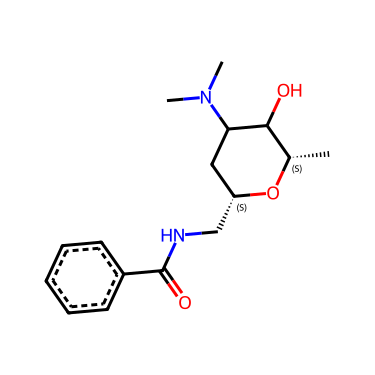 C[C@@H]1O[C@H](CNC(=O)c2ccccc2)CC(N(C)C)C1O